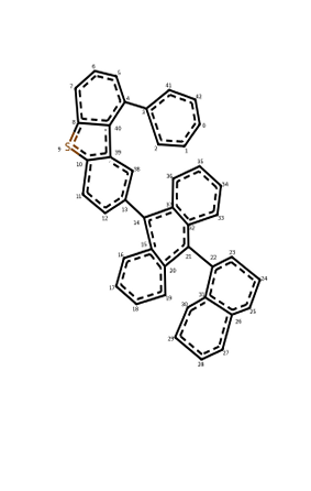 c1ccc(-c2cccc3sc4ccc(-c5c6ccccc6c(-c6cccc7ccccc67)c6ccccc56)cc4c23)cc1